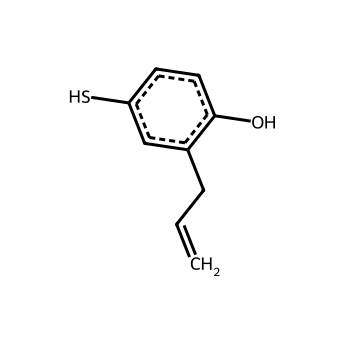 C=CCc1cc(S)ccc1O